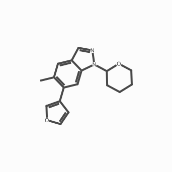 Cc1cc2cnn(C3CCCCO3)c2cc1-c1ccoc1